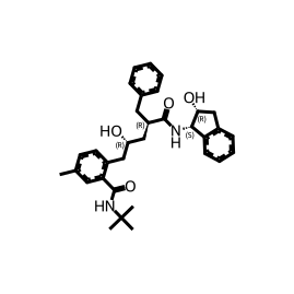 Cc1ccc(C[C@H](O)C[C@@H](Cc2ccccc2)C(=O)N[C@H]2c3ccccc3C[C@H]2O)c(C(=O)NC(C)(C)C)c1